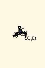 CCOC(=O)CSc1cnc(NC(=O)/C(=N/OC2CCCC2)c2ccc(S(=O)(=O)C3CC3)cc2)s1